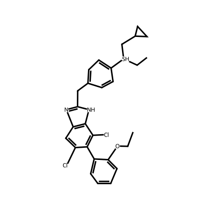 CCOc1ccccc1-c1c(Cl)cc2nc(Cc3ccc([SH](CC)CC4CC4)cc3)[nH]c2c1Cl